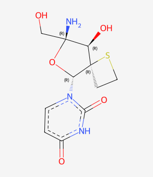 N[C@]1(CO)O[C@@H](n2ccc(=O)[nH]c2=O)[C@@]2(CCS2)[C@@H]1O